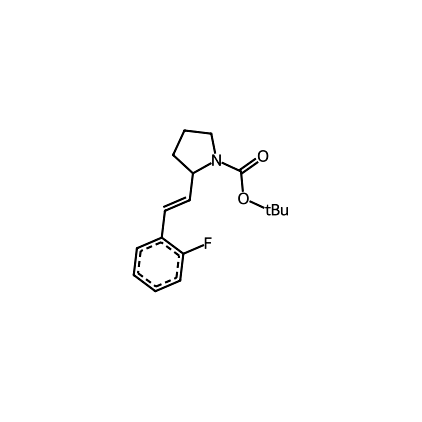 CC(C)(C)OC(=O)N1CCCC1C=Cc1ccccc1F